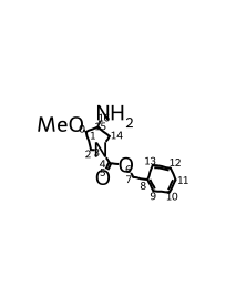 CO[C@H]1CN(C(=O)OCc2ccccc2)C[C@@H]1N